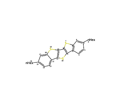 CCCCCCc1ccc2c(c1)sc1c2sc2c3ccc(CCCCCC)cc3sc21